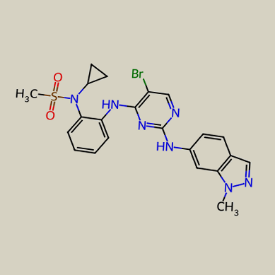 Cn1ncc2ccc(Nc3ncc(Br)c(Nc4ccccc4N(C4CC4)S(C)(=O)=O)n3)cc21